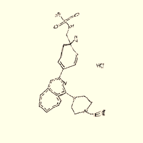 CCCS(=O)(=O)NCC1(Cl)C=CC(c2cc3ccccc3c(N3CCN(CC)CC3)n2)=CC1.Cl